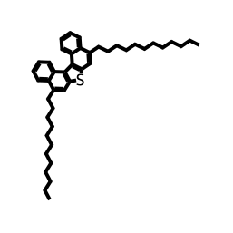 CCCCCCCCCCCCc1cc2sc3cc(CCCCCCCCCCCC)c4ccccc4c3c2c2ccccc12